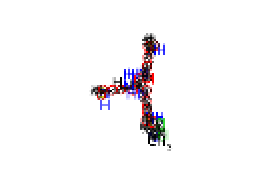 CC(O)C(CCC(=O)NCCOCCOCCNS(=O)(=O)c1ccccc1)(CCC(=O)NCCOCCOCCNS(=O)(=O)c1ccccc1)CCC(=O)NCCOCCOCCNS(=O)(=O)c1cccc([C@@H]2CN(C)Cc3c(Cl)cc(Cl)cc32)c1